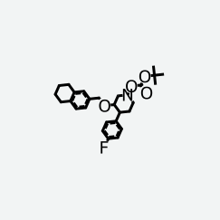 CC(C)(C)OC(=O)ON1CCC(c2ccc(F)cc2)C(OCc2ccc3c(c2)CCCC3)C1